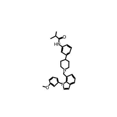 COc1cccc(-n2ccc3cccc(CN4CCC(c5cccc(NC(=O)C(C)C)c5)CC4)c32)c1